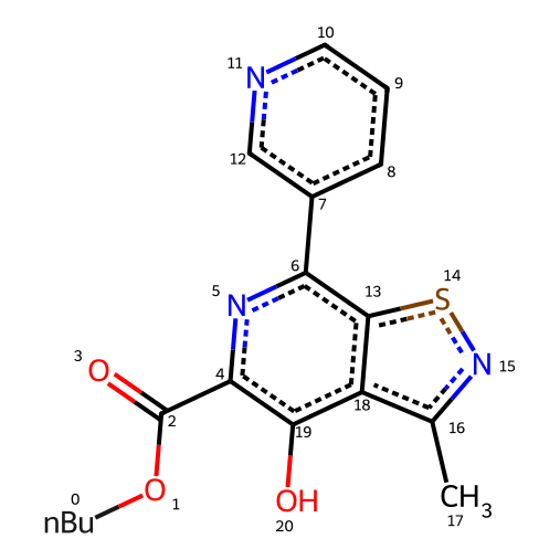 CCCCOC(=O)c1nc(-c2cccnc2)c2snc(C)c2c1O